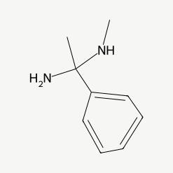 CNC(C)(N)c1ccccc1